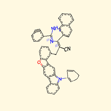 N#C/C(Cc1cccc2oc3cc4c5ccccc5n(C5=CCCC=C5)c4cc3c12)=C(/N=C(\N)c1c#cccc1)c1ccc2ccccc2c1